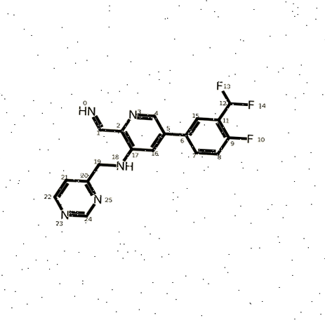 N=Cc1ncc(-c2ccc(F)c(C(F)F)c2)cc1NCc1ccncn1